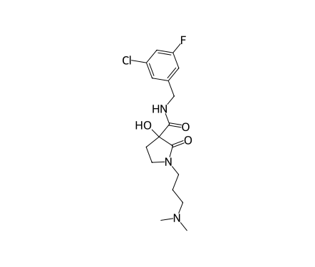 CN(C)CCCN1CCC(O)(C(=O)NCc2cc(F)cc(Cl)c2)C1=O